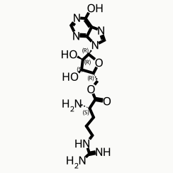 N=C(N)NCCC[C@H](N)C(=O)OC[C@H]1O[C@@H](n2cnc3c(O)ncnc32)[C@H](O)[C@@H]1O